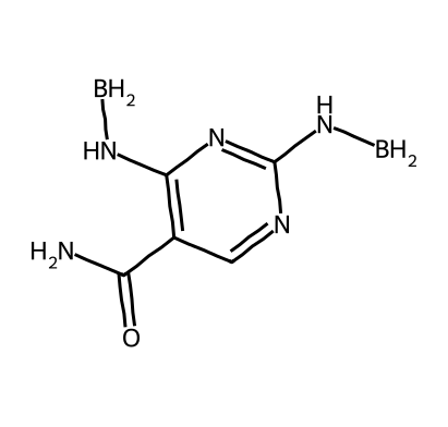 BNc1ncc(C(N)=O)c(NB)n1